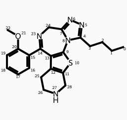 CCCCc1nnc2n1-c1sc3c(c1C(c1ccccc1OC)=NC2)CCNC3